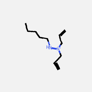 C=CC[N+](CC=C)NCCCCC